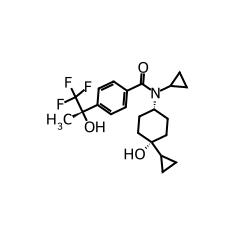 C[C@](O)(c1ccc(C(=O)N(C2CC2)[C@H]2CC[C@](O)(C3CC3)CC2)cc1)C(F)(F)F